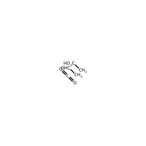 CC(=O)O.CC=O.O=C=O